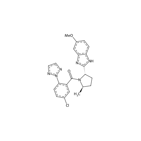 COc1ccc2[nH]c([C@@H]3CC[C@@H](C)N3C(=O)c3cc(Cl)ccc3-n3nccn3)nc2c1